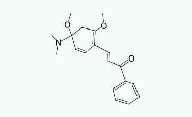 COC1=C(C=CC(=O)c2ccccc2)C=CC(OC)(N(C)C)C1